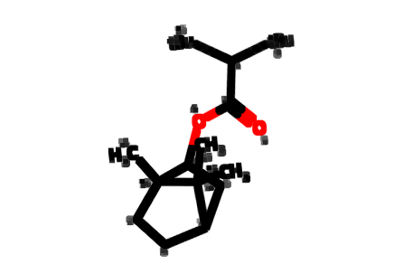 CC(C)(C)C(C(=O)OC1CC2CCC1(C)C2(C)C)C(C)(C)C